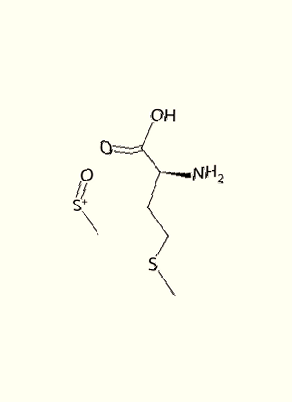 CSCC[C@H](N)C(=O)O.C[S+]=O